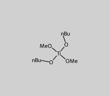 CCCC[O][Ti]([O]C)([O]C)[O]CCCC